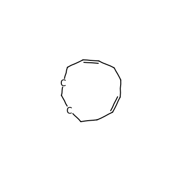 C1=C\CCCCCC/C=C\CC/1